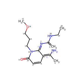 C=C(/N=C1\C(=C(\C)N)C=CC(=O)N1CCCOC)NCC